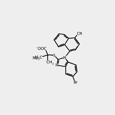 CC(C)(Sc1nc2cc(Br)ccc2n1-c1ccc(C#N)c2ccccc12)C(=O)[O-].[Na+]